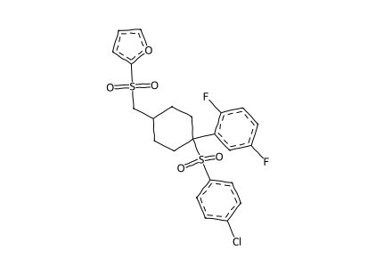 O=S(=O)(CC1CCC(c2cc(F)ccc2F)(S(=O)(=O)c2ccc(Cl)cc2)CC1)c1ccco1